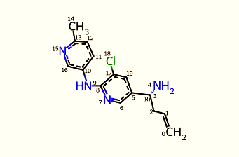 C=CC[C@@H](N)c1cnc(Nc2ccc(C)nc2)c(Cl)c1